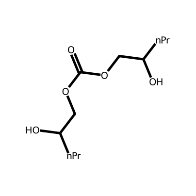 CCCC(O)COC(=O)OCC(O)CCC